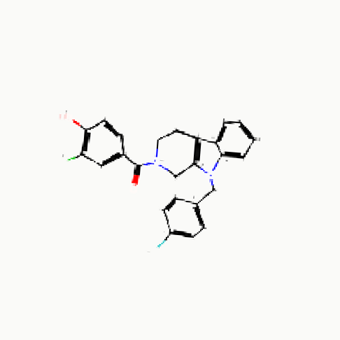 O=C(c1ccc(O)c(Cl)c1)N1CCc2c(n(Cc3ccc(F)cc3)c3ccccc23)C1